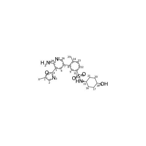 Cc1cnc(-c2cc(-c3cc(S(=O)(=O)NC4CCC(O)CC4)ccc3C)cnc2N)o1